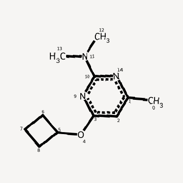 Cc1cc(OC2CCC2)nc(N(C)C)n1